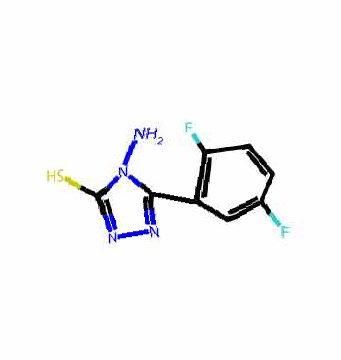 Nn1c(S)nnc1-c1cc(F)ccc1F